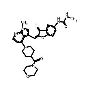 CNC(=O)Nc1ccc2c(c1)C(=O)C(=Cc1cn(C)c3nccc(N4CCC(C(=O)N5CCOCC5)CC4)c13)O2